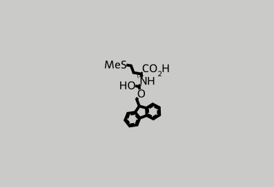 CSCC[C@H](NC(O)OCC1c2ccccc2-c2ccccc21)C(=O)O